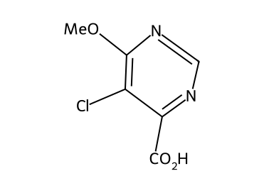 COc1ncnc(C(=O)O)c1Cl